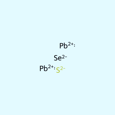 [Pb+2].[Pb+2].[S-2].[Se-2]